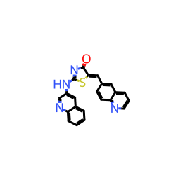 O=C1N=C(Nc2cnc3ccccc3c2)S/C1=C\c1ccc2ncccc2c1